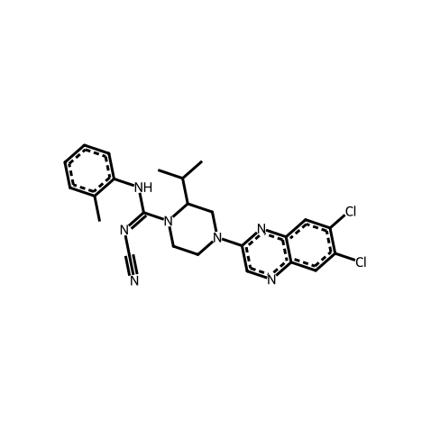 Cc1ccccc1N/C(=N/C#N)N1CCN(c2cnc3cc(Cl)c(Cl)cc3n2)CC1C(C)C